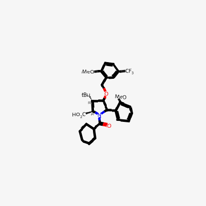 COc1ccc(C(F)(F)F)cc1COC1C(c2ccccc2OC)N(C(=O)C2CCCCC2)[C@@H](C(=O)O)[C@@H]1C(C)(C)C